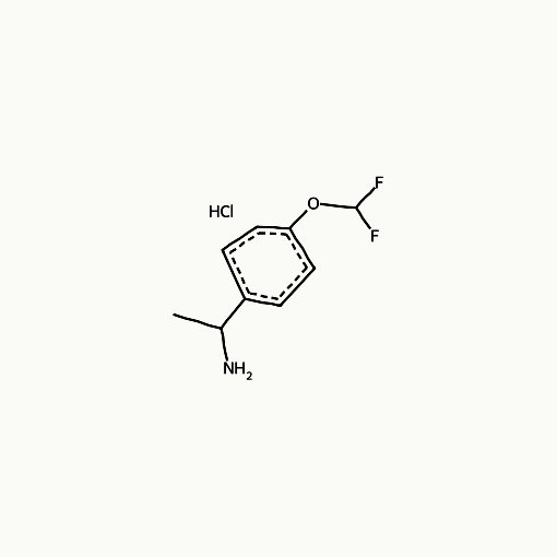 CC(N)c1ccc(OC(F)F)cc1.Cl